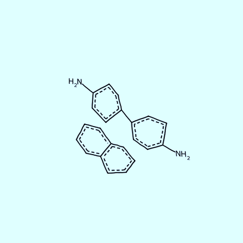 Nc1ccc(-c2ccc(N)cc2)cc1.c1ccc2ccccc2c1